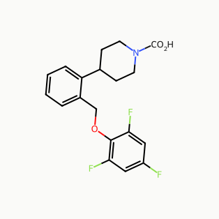 O=C(O)N1CCC(c2ccccc2COc2c(F)cc(F)cc2F)CC1